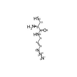 [N-]=[N+]=NC=CCNC(=O)[C@@H](N)CS